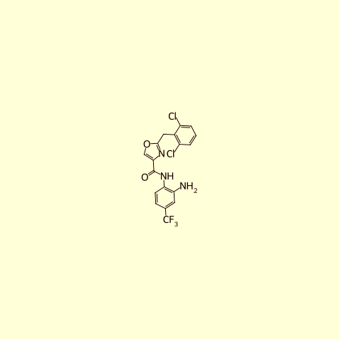 Nc1cc(C(F)(F)F)ccc1NC(=O)c1coc(Cc2c(Cl)cccc2Cl)n1